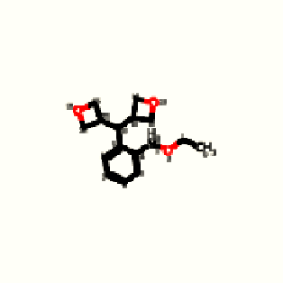 CCO[SiH2]c1ccccc1C(C1COC1)C1COC1